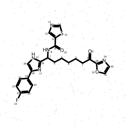 O=C(CCCCCC(NC(=O)c1cncs1)c1nc(-c2ccc(F)cc2)c[nH]1)c1ncco1